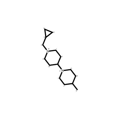 CC1CCN(C2CCN(CC3CC3)CC2)CC1